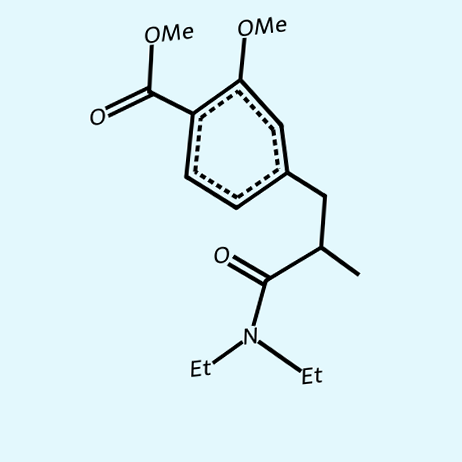 CCN(CC)C(=O)C(C)Cc1ccc(C(=O)OC)c(OC)c1